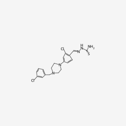 NC(=S)NN=Cc1ccc(N2CCN(Cc3cccc(Cl)c3)CC2)cc1Cl